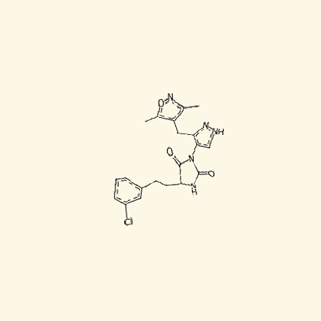 Cc1noc(C)c1Cc1n[nH]cc1N1C(=O)NC(CCc2cccc(Cl)c2)C1=O